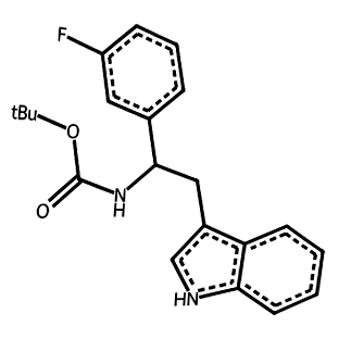 CC(C)(C)OC(=O)NC(Cc1c[nH]c2ccccc12)c1cccc(F)c1